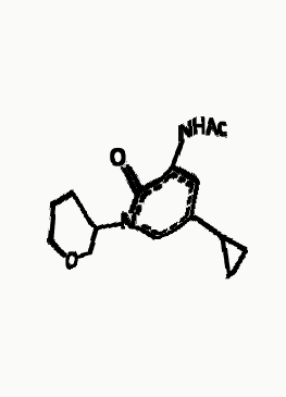 CC(=O)Nc1cc(C2CC2)cn(C2CCCOC2)c1=O